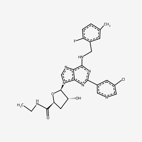 CCNC(=O)[C@@H]1C[C@@H](O)[C@H](n2cnc3c(NCc4cc(C)ccc4F)nc(-c4cncc(Cl)c4)nc32)O1